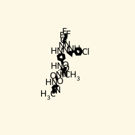 COC(=O)[C@H](CNC(=O)C(=O)Nc1cnn(C)c1)NC(=O)c1ccc(Nc2nc(NC3(c4ccc(Cl)cc4)CC3)nc(OCC(F)(F)F)n2)cc1